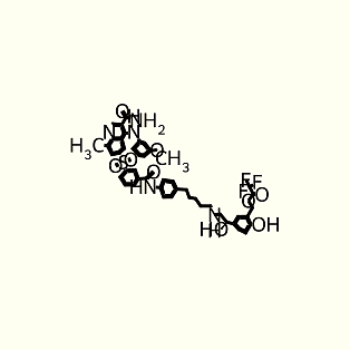 COc1cccc(Nc2c(C(N)=O)cnc3c(C)cc(S(=O)(=O)c4cccc(C(=O)Nc5ccc(CCCCCNC[C@H](O)c6ccc(O)c(COC(=O)C(F)(F)F)c6)cc5)c4)cc23)c1